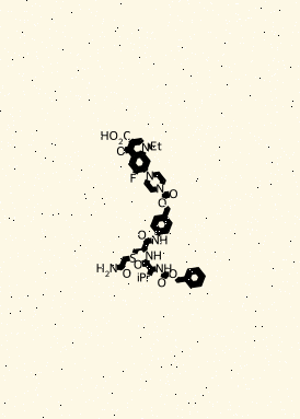 CCn1cc(C(=O)O)c(=O)c2cc(F)c(N3CCN(C(=O)OCc4ccc(NC(=O)[C@H](CSCC(N)=O)NC(=O)C(NC(=O)OCc5ccccc5)C(C)C)cc4)CC3)cc21